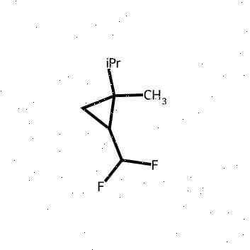 CC(C)C1(C)CC1C(F)F